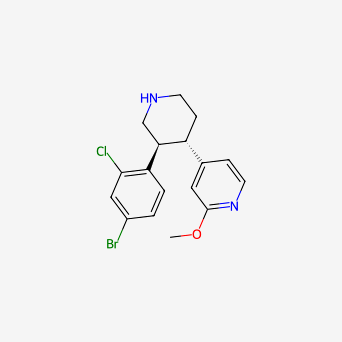 COc1cc([C@H]2CCNC[C@@H]2c2ccc(Br)cc2Cl)ccn1